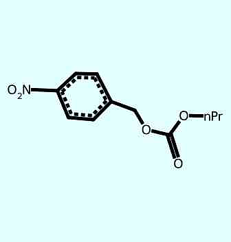 CCCOC(=O)OCc1ccc([N+](=O)[O-])cc1